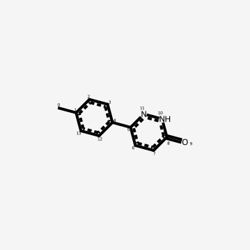 Cc1[c]cc(-c2ccc(=O)[nH]n2)cc1